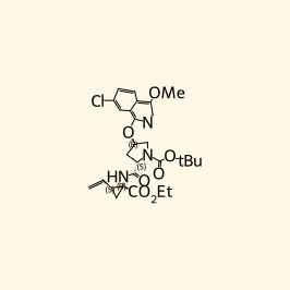 C=C[C@@H]1C[C@]1(NC(=O)[C@@H]1C[C@@H](Oc2ncc(OC)c3ccc(Cl)cc23)CN1C(=O)OC(C)(C)C)C(=O)OCC